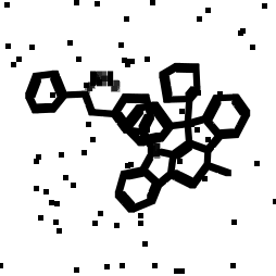 CC1C=c2c(n(-c3cccc(C[C@@H](N)c4ccccc4)c3)c3ccccc23)=C2C1c1ccccc1C2(c1ccccc1)c1ccccc1